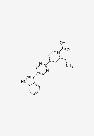 CCC1CN(c2ncc(-c3c[nH]c4ccccc34)cn2)CCN1C(=O)O